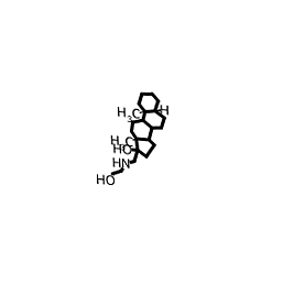 C[C@]12CCC3C(CC[C@H]4CCCC[C@]34C)C1CCC2(O)CNCCO